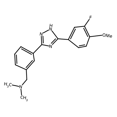 COc1ccc(-c2nc(-c3cccc(CN(C)C)c3)n[nH]2)cc1F